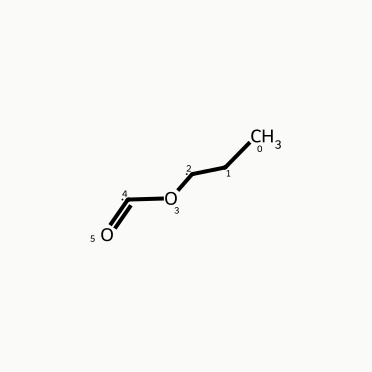 CC[CH]O[C]=O